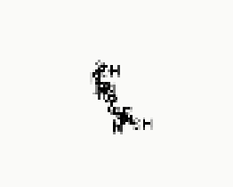 Cc1c(Nc2nccc3cc(CN4CC[C@@H](C(=O)O)C4)cnc23)cccc1-c1cccc(-c2nc3c(=O)n(CCO)cc(C#N)c3o2)c1C